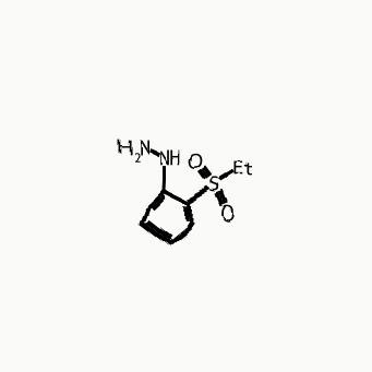 CCS(=O)(=O)c1ccccc1NN